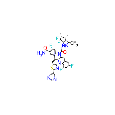 C[C@@H]1c2c(C(F)(F)F)nn(CC(=O)N[C@@H](Cc3cc(F)cc(F)c3)c3nc4nc(-c5cncnc5)sc4cc3-c3ccc(F)c(C(N)=O)c3)c2C(F)(F)[C@@H]1C